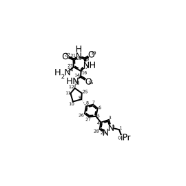 CC(C)Cn1cc(-c2ccc([C@@H]3CC[C@H](NC(=O)c4[nH]c(=O)[nH]c(=O)c4N)C3)cc2)cn1